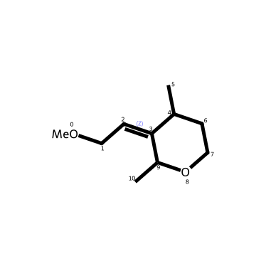 COC/C=C1/C(C)CCOC1C